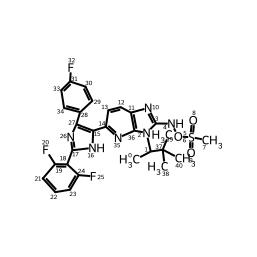 CC(n1c(NOS(C)(=O)=O)nc2ccc(-c3[nH]c(-c4c(F)cccc4F)nc3-c3ccc(F)cc3)nc21)C(C)(C)C